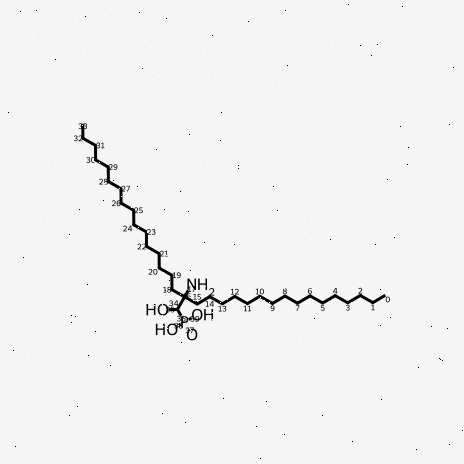 CCCCCCCCCCCCCCCCC(N)(CCCCCCCCCCCCCCCC)C(O)P(=O)(O)O